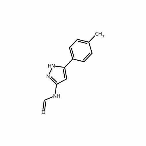 Cc1ccc(-c2cc(NC=O)n[nH]2)cc1